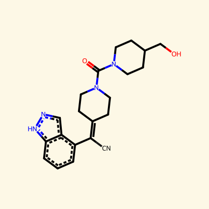 N#CC(=C1CCN(C(=O)N2CCC(CO)CC2)CC1)c1cccc2[nH]ncc12